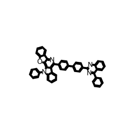 c1ccc(-c2nc(-c3ccc(-c4ccc(-c5nc6c7ccccc7oc6c6c5c5ccccc5n6-c5ccccc5)cc4)cc3)nc3ccccc23)cc1